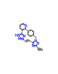 CCCc1nc(C(C)CC)nn1Cc1ccc(-c2ncccc2-c2nnn[nH]2)cc1